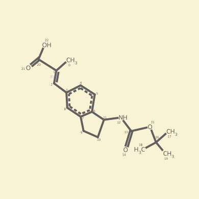 C/C(=C\c1ccc2c(c1)CCC2NC(=O)OC(C)(C)C)C(=O)O